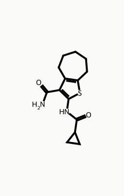 NC(=O)c1c(NC(=O)C2CC2)sc2c1CCCCC2